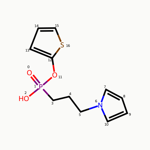 O=P(O)(CCCn1cccc1)Oc1cccs1